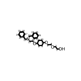 OCCOCCOC1CCC(OCCN(Cc2ccccc2)Cc2ccccc2)CC1